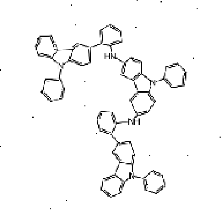 c1ccc(-n2c3ccc(Nc4ccccc4-c4ccc5c(c4)c4ccccc4n5-c4ccccc4)cc3c3cc(Nc4ccccc4-c4ccc5c(c4)c4ccccc4n5-c4ccccc4)ccc32)cc1